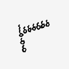 C=CC=CC=Cc1ccccc1.C=Cc1ccccc1.C=Cc1ccccc1.C=Cc1ccccc1.C=Cc1ccccc1.C=Cc1ccccc1.C=Cc1ccccc1.C=Cc1ccccc1.C=Cc1ccccc1